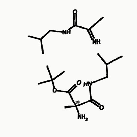 CC(=N)C(=O)NCC(C)C.CC(C)CNC(=O)[C@](C)(N)C(=O)OC(C)(C)C